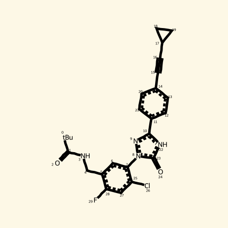 CC(C)(C)C(=O)NCc1cc(-n2nc(-c3ccc(C#CC4CC4)cc3)[nH]c2=O)c(Cl)cc1F